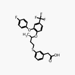 CC(CCSc1cccc(CC(=O)O)c1)Oc1ccc(C(F)(F)F)cc1Oc1ccc(F)cc1